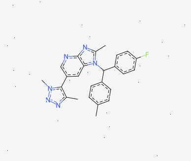 Cc1ccc(C(c2ccc(F)cc2)n2c(C)nc3ncc(-c4c(C)nnn4C)cc32)cc1